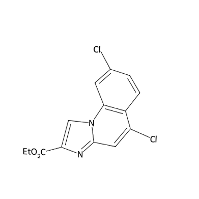 CCOC(=O)c1cn2c(cc(Cl)c3ccc(Cl)cc32)n1